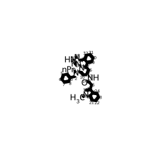 CCCN(Cc1ccccc1)c1cc(NC(=O)Cc2cn(C)c3ccccc23)cc(-c2ccccc2-c2nn[nH]n2)n1